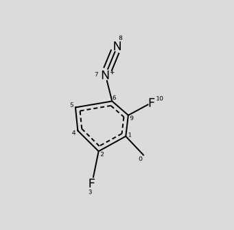 Cc1c(F)ccc([N+]#N)c1F